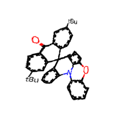 CC(C)(C)c1ccc2c(c1)C(=O)c1ccc(C(C)(C)C)cc1C21c2ccccc2N2c3ccccc3Oc3cccc1c32